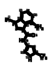 CC(C)n1cc(C(=O)Nc2cc(C(F)(F)F)[nH]n2)c2c(N)ncnc21